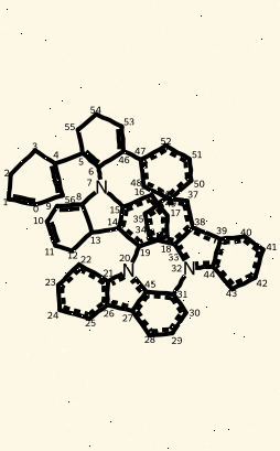 C1=CCCC(C2=C(N3C4=CC=CCC4c4c3cccc4-n3c4ccccc4c4cccc(-n5c6ccccc6c6ccccc65)c43)C(c3ccccc3)=CCC2)=C1